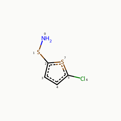 NSc1ccc(Cl)s1